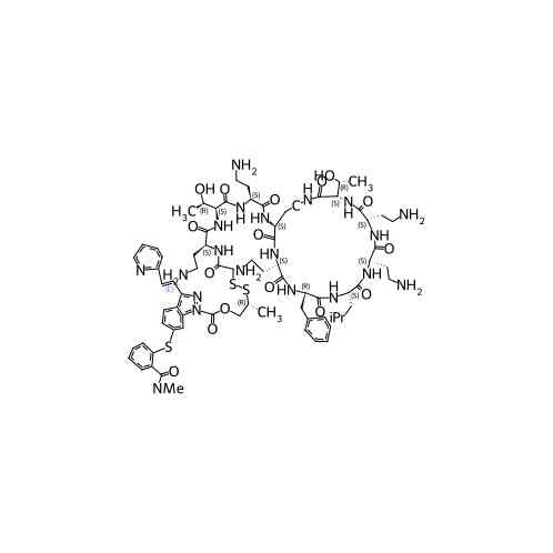 CNC(=O)c1ccccc1Sc1ccc2c(/C=C/c3ccccn3)nn(C(=O)OC[C@@H](C)SSCC(=O)N[C@@H](CCN)C(=O)N[C@H](C(=O)N[C@@H](CCN)C(=O)N[C@H]3CCNC(=O)[C@H]([C@@H](C)O)NC(=O)[C@H](CCN)NC(=O)[C@H](CCN)NC(=O)[C@H](CC(C)C)NC(=O)[C@@H](Cc4ccccc4)NC(=O)[C@H](CCN)NC3=O)[C@@H](C)O)c2c1